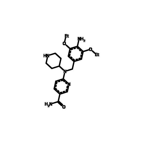 CCOc1cc(CN(c2ccc(C(N)=O)cn2)C2CCNCC2)cc(OCC)c1N